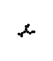 c1ccc(-n2c3ccccc3c3cc(-c4ccc(N(c5ccc(-c6cccc(-c7ccc8ccccc8c7)c6)cc5)c5ccc(-c6cccc7c6ccc6ccccc67)cc5)cc4)ccc32)cc1